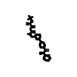 CN(Cc1cccc(-c2ccc(NC(=O)c3ccccn3)cc2)c1)C(=O)CNC(=O)OC(C)(C)C